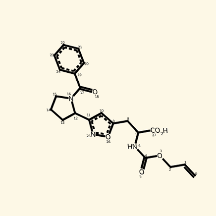 C=CCOC(=O)NC(Cc1cc(C2CCCN2C(=O)c2ccccc2)no1)C(=O)O